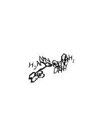 Nc1ncnc2c1c(C#Cc1cccc3c1S(=O)(=O)CCC3)cn2[C@@H]1O[C@H](CNS(N)(=O)=O)[C@@H](O)[C@H]1O